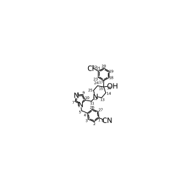 N#Cc1ccc(Cn2cncc2CN2CCC(O)(c3cccc(Cl)c3)CC2)cc1